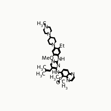 CCc1cc(Nc2ncc(C=C(C)C)c(Nc3ccc4nccnc4c3P(C)(C)=O)n2)c(OC)cc1N1CCC(N2CCN(C)CC2)CC1